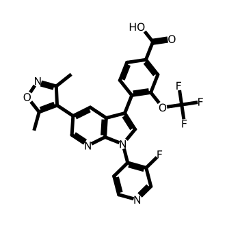 Cc1noc(C)c1-c1cnc2c(c1)c(-c1ccc(C(=O)O)cc1OC(F)(F)F)cn2-c1ccncc1F